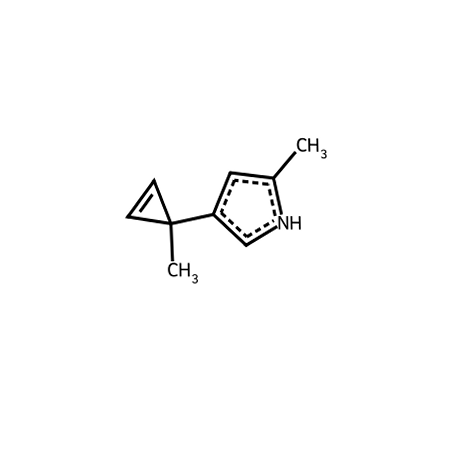 Cc1cc(C2(C)C=C2)c[nH]1